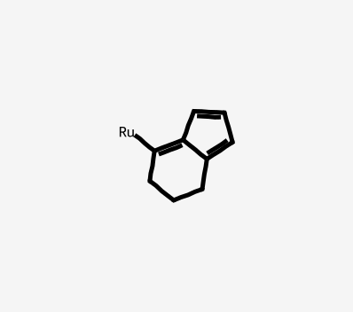 [Ru][C]1=C2C=CC=C2CCC1